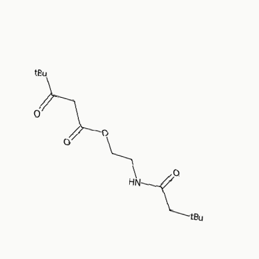 CC(C)(C)CC(=O)NCCOC(=O)CC(=O)C(C)(C)C